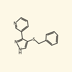 c1ccc(CSc2c[nH]nc2-c2cccnc2)cc1